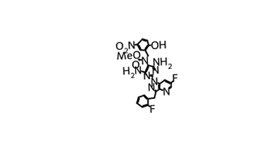 COC(=O)N(Cc1cc([N+](=O)[O-])ccc1O)c1c(N)nc(-n2nc(Cc3ccccc3F)c3ncc(F)cc32)nc1N